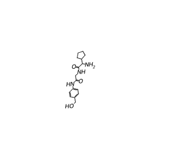 NC(C(=O)NCC(=O)Nc1ccc(CO)cc1)C1CCCC1